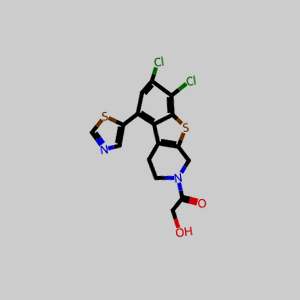 O=C(CO)N1CCc2c(sc3c(Cl)c(Cl)cc(-c4cncs4)c23)C1